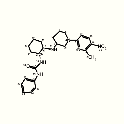 Cc1nc(N2CCCC(N[C@@H]3CCCC[C@H]3NC(=O)Nc3ccccc3)C2)ccc1[N+](=O)[O-]